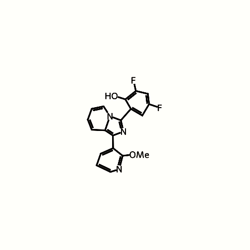 COc1ncccc1-c1nc(-c2cc(F)cc(F)c2O)n2ccccc12